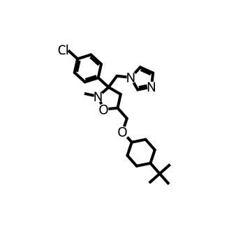 CN1OC(COC2CCC(C(C)(C)C)CC2)CC1(Cn1ccnc1)c1ccc(Cl)cc1